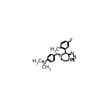 Cc1ccc(F)cc1C1c2nnnn2CCN1Cc1ccc(N(C)C)cc1